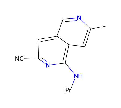 Cc1cc2c(NC(C)C)nc(C#N)cc2cn1